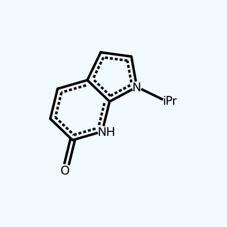 CC(C)n1ccc2ccc(=O)[nH]c21